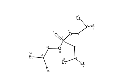 CCC(CC)COP(=O)(CC(CC)CC)OCC(CC)CC